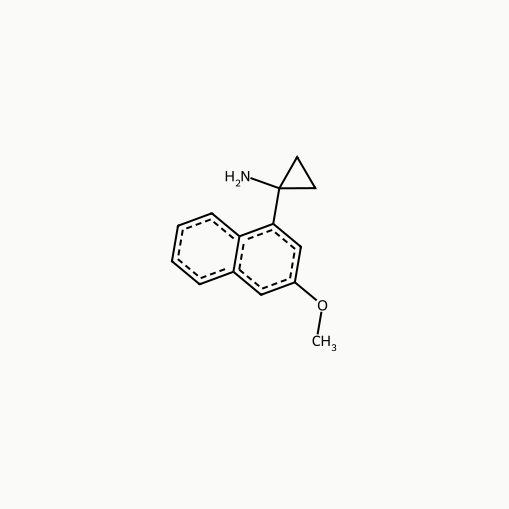 COc1cc(C2(N)CC2)c2ccccc2c1